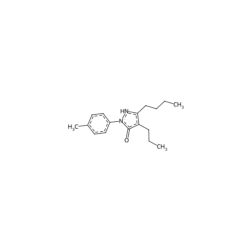 CCCCc1[nH]n(-c2ccc(C)cc2)c(=O)c1CCC